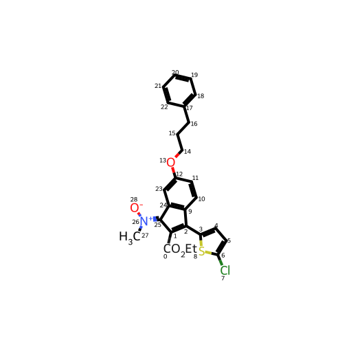 CCOC(=O)C1=C(c2ccc(Cl)s2)c2ccc(OCCCc3ccccc3)cc2/C1=[N+](/C)[O-]